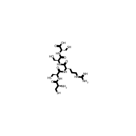 N=C(N)NCCC[C@H](NC(=O)[C@H](CS)NC(=O)[C@@H](N)CS)C(=O)N[C@@H](CO)C(=O)N[C@@H](CS)C(=O)O